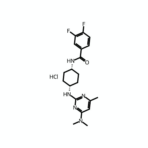 Cc1cc(N(C)C)nc(N[C@H]2CC[C@@H](NC(=O)c3ccc(F)c(F)c3)CC2)n1.Cl